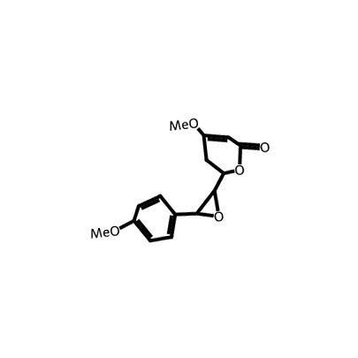 COC1=CC(=O)OC(C2OC2c2ccc(OC)cc2)C1